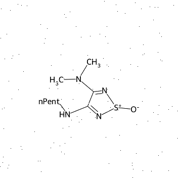 CCCCCNc1n[s+]([O-])nc1N(C)C